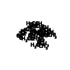 CC(C)(C)OC(=O)CN(CCN(CC(=O)OC(C)(C)C)CC(=O)OC(C)(C)C)CCN(CC(=O)OC(C)(C)C)C(COCc1ccc([N+](=O)[O-])cc1)C(=O)OC(C)(C)C